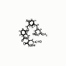 CNC(=O)C(CCC=O)N1Cc2c(OCc3cc(CN(CC(C)O)CC(C)(C)C)ccc3F)cccc2C1=O